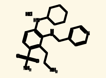 Cl.NCCc1c(S(N)(=O)=O)ccc(NC2CCCCC2)c1NCc1ccncc1